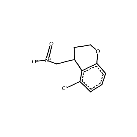 O=[N+]([O-])CC1CCOc2cccc(Cl)c21